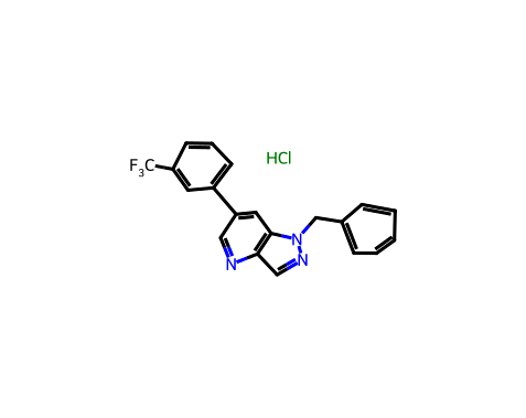 Cl.FC(F)(F)c1cccc(-c2cnc3cnn(Cc4ccccc4)c3c2)c1